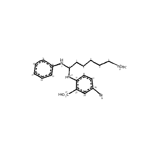 CCCCCCCCCCCCCCCC(Nc1ccccc1)Nc1ccc(Br)cc1C(=O)O